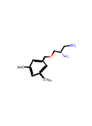 COc1cc(COC[C@@H](N)CN)cc(OC)c1